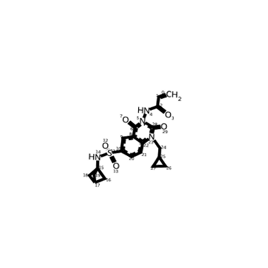 C=CC(=O)Nn1c(=O)c2cc(S(=O)(=O)NC34CC(C3)C4)ccc2n(CC2CC2)c1=O